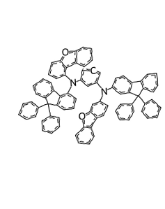 c1ccc(C2(c3ccccc3)c3ccccc3-c3ccc(N(c4cccc(N(c5cccc6c5-c5ccccc5C6(c5ccccc5)c5ccccc5)c5cccc6oc7ccccc7c56)c4)c4ccc5c(c4)oc4ccccc45)cc32)cc1